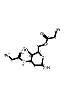 CC(C)CC(=O)OCC1OC(O)CC(OC(=O)CC(C)C)C1O